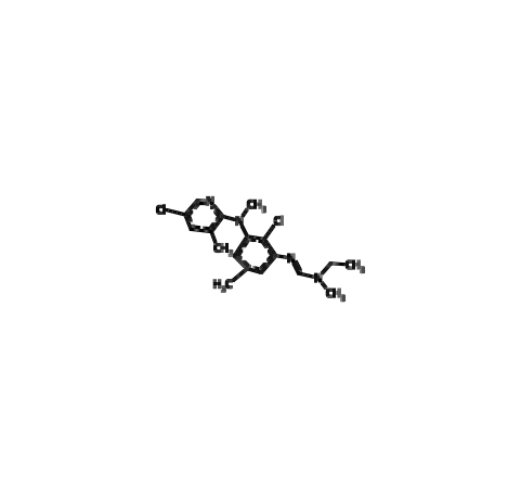 CCN(C)C=Nc1cc(C)cc(N(C)c2ncc(Cl)cc2C)c1Cl